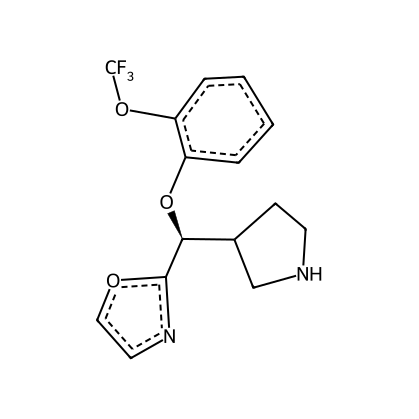 FC(F)(F)Oc1ccccc1O[C@H](c1ncco1)C1CCNC1